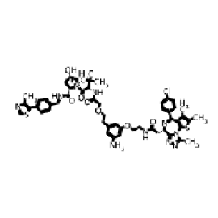 Cc1ncsc1-c1ccc(CNC(=O)[C@@H]2C[C@@H](O)CN2C(=O)[C@@H](NC(=O)COCCc2cc(N)cc(OCCNC(=O)C[C@@H]3N=C(c4ccc(Cl)cc4)c4c(sc(C)c4C)-n4c(C)nnc43)c2)C(C)(C)C)cc1